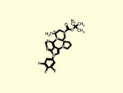 C[C@H]1CN(C(=O)OC(C)(C)C)CCN1c1ncnc2c1c(N1CCCC1)cn2-c1cc(F)c(F)c(F)c1